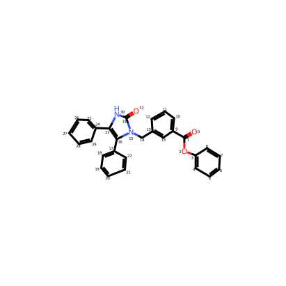 O=C(Oc1ccccc1)c1cccc(Cn2c(-c3ccccc3)c(-c3ccccc3)[nH]c2=O)c1